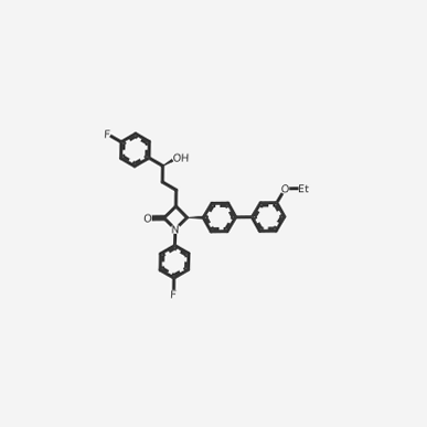 CCOc1cccc(-c2ccc([C@@H]3C(CC[C@H](O)c4ccc(F)cc4)C(=O)N3c3ccc(F)cc3)cc2)c1